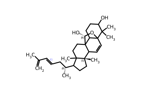 C=C(C)/C=C/C[C@@H](C)C1CC[C@@]2(C)C3C=CC45O[C@@H](O)C3(CCC12C)C4CCC(O)C5(C)C